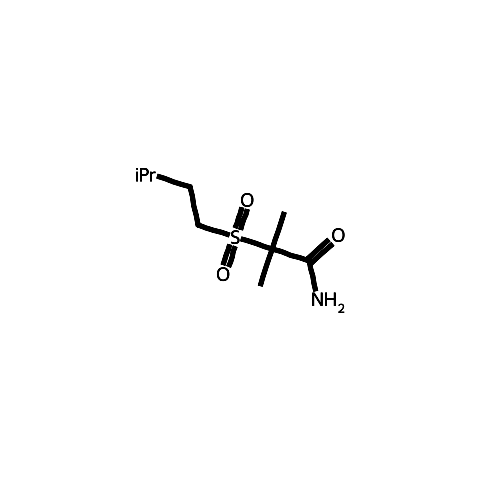 CC(C)CCS(=O)(=O)C(C)(C)C(N)=O